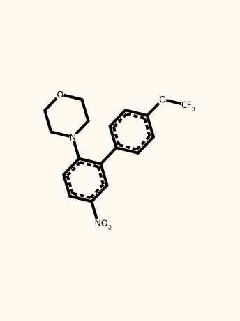 O=[N+]([O-])c1ccc(N2CCOCC2)c(-c2ccc(OC(F)(F)F)cc2)c1